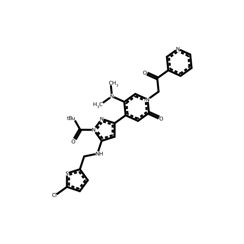 CN(C)c1cn(CC(=O)c2cccnc2)c(=O)cc1-c1cc(NCc2ccc(Cl)s2)n(C(=O)C(C)(C)C)n1